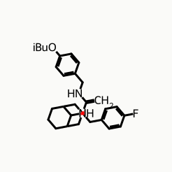 C=C(NCc1ccc(OCC(C)C)cc1)N(Cc1ccc(F)cc1)C1C2CCCC1CNC2